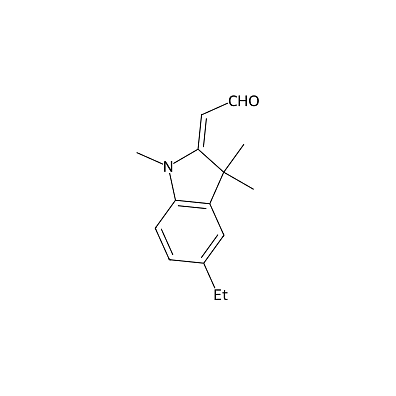 CCc1ccc2c(c1)C(C)(C)C(=CC=O)N2C